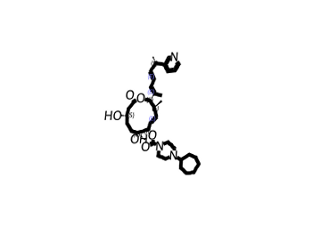 C/C(=C\C=C\[C@H](C)c1cccnc1)[C@H]1OC(=O)C[C@@H](O)CC[C@](C)(O)[C@H](OC(=O)N2CCN(C3CCCCCC3)CC2)/C=C/[C@@H]1C